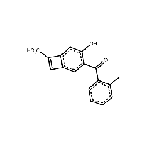 Cc1ccccc1C(=O)c1cc2c(cc1O)C(C(=O)O)=C2